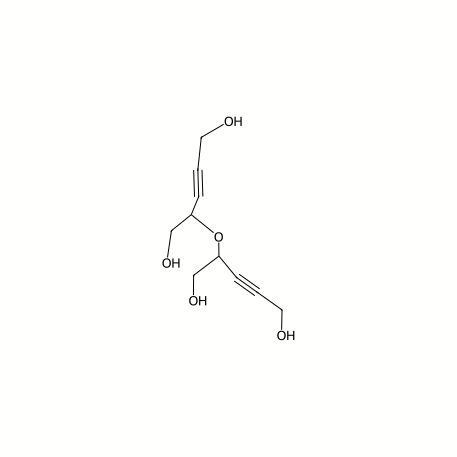 OCC#CC(CO)OC(C#CCO)CO